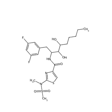 CCCCCC(O)C(O)C(Cc1cc(F)cc(F)c1)NC(=O)c1csc(N(C)S(C)(=O)=O)n1